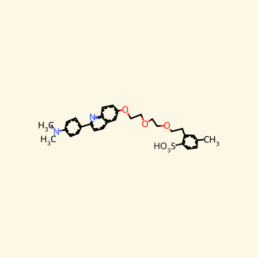 Cc1ccc(S(=O)(=O)O)c(CCOCCOCCOc2ccc3nc(-c4ccc(N(C)C)cc4)ccc3c2)c1